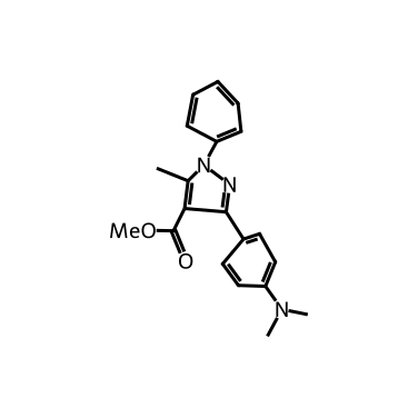 COC(=O)c1c(-c2ccc(N(C)C)cc2)nn(-c2ccccc2)c1C